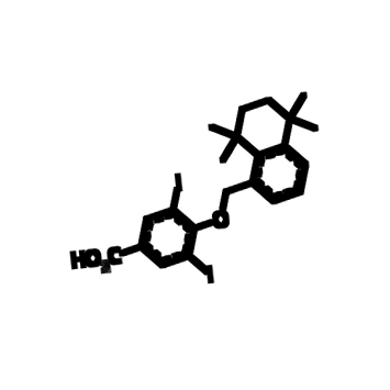 CC1(C)CCC(C)(C)c2c(COc3c(I)cc(C(=O)O)cc3I)cccc21